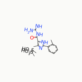 CS(=O)(=O)O.CS(=O)(=O)O.Cc1ccccc1-c1nc(C)c(C(=O)NC(=N)N)[nH]1